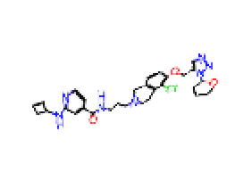 O=C(NCCCN1CCc2c(ccc(OCc3cnnn3C3CCCCO3)c2Cl)C1)c1ccnc(NC2CCC2)c1